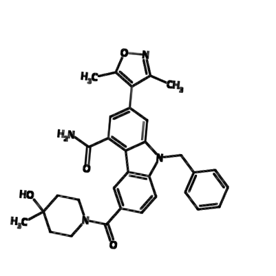 Cc1noc(C)c1-c1cc(C(N)=O)c2c3cc(C(=O)N4CCC(C)(O)CC4)ccc3n(Cc3ccccc3)c2c1